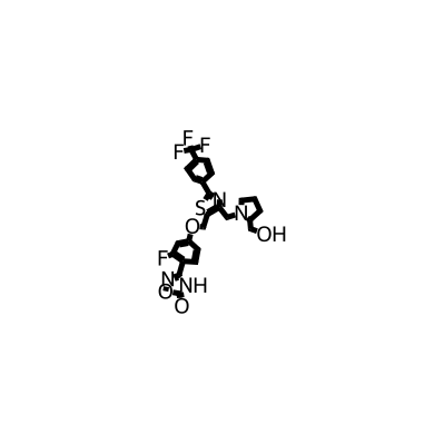 O=c1[nH]c(-c2ccc(OCc3sc(-c4ccc(C(F)(F)F)cc4)nc3CN3CCCC3CO)cc2F)no1